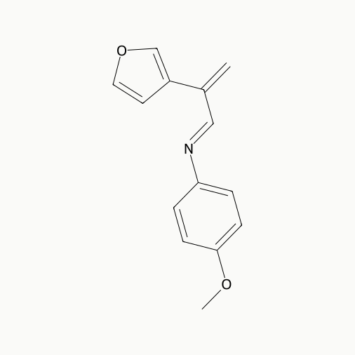 C=C(C=Nc1ccc(OC)cc1)c1ccoc1